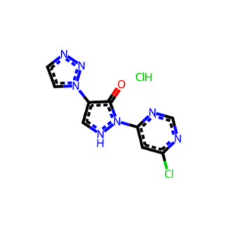 Cl.O=c1c(-n2ccnn2)c[nH]n1-c1cc(Cl)ncn1